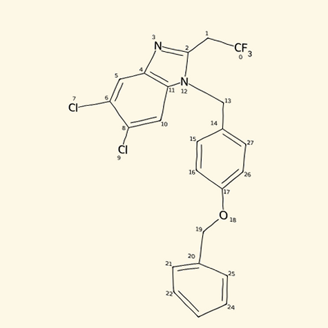 FC(F)(F)Cc1nc2cc(Cl)c(Cl)cc2n1Cc1ccc(OCc2ccccc2)cc1